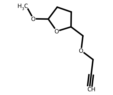 C#CCOCC1CCC(OC)O1